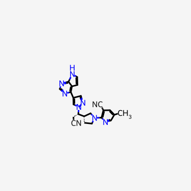 Cc1cnc(N2CC[C@H]([C@H](CC#N)n3cc(-c4ncnc5[nH]ccc45)cn3)C2)c(C#N)c1